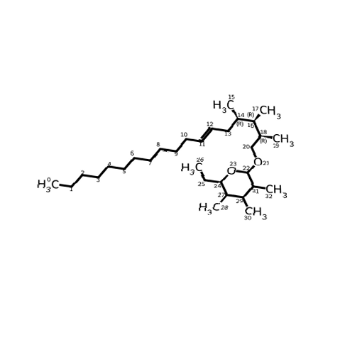 CCCCCCCCCCCC=CC[C@@H](C)[C@@H](C)[C@@H](C)COC1OC(CC)C(C)C(C)C1C